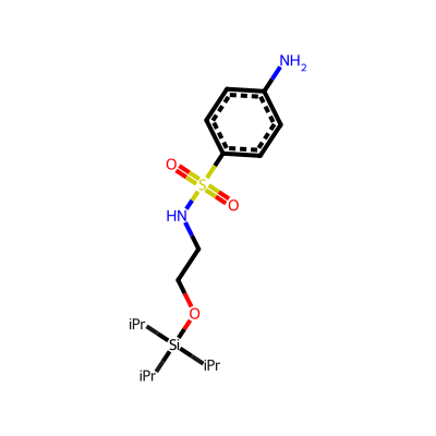 CC(C)[Si](OCCNS(=O)(=O)c1ccc(N)cc1)(C(C)C)C(C)C